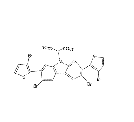 CCCCCCCCC(CCCCCCCC)n1c2cc(-c3sccc3Br)c(Br)cc2c2cc(Br)c(-c3sccc3Br)cc21